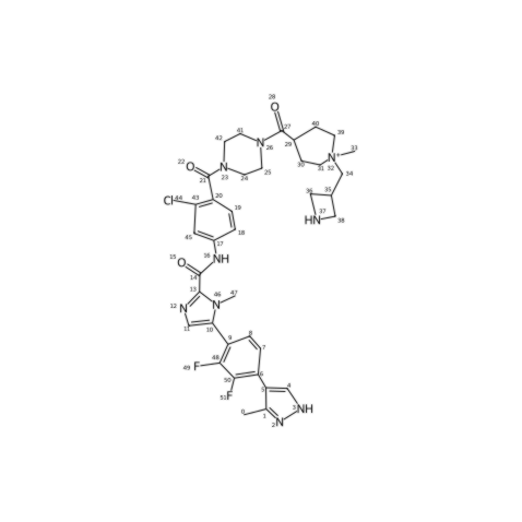 Cc1n[nH]cc1-c1ccc(-c2cnc(C(=O)Nc3ccc(C(=O)N4CCN(C(=O)C5CC[N+](C)(CC6CNC6)CC5)CC4)c(Cl)c3)n2C)c(F)c1F